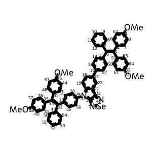 COc1ccc(C(=C(c2ccccc2)c2ccc(-c3ccc4c(c3)c3n[se]nc3n4-c3ccc(C(=C(c4ccc(OC)cc4)c4ccc(OC)cc4)c4ccccc4)cc3)cc2)c2ccc(OC)cc2)cc1